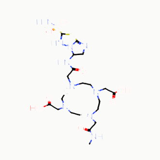 CNC(=O)CN1CCN(CC(=O)O)CCN(CC(=O)NC2CN=C3SC(S(N)(=O)=O)NN32)CCN(CC(=O)O)CC1